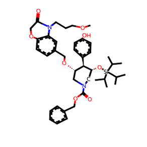 COCCCN1C(=O)COc2ccc(CO[C@H]3CN(C(=O)OCc4ccccc4)C[C@@H](O[Si](C(C)C)(C(C)C)C(C)C)[C@@H]3c3ccc(O)cc3)cc21